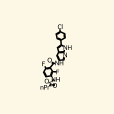 CCCS(=O)(=O)Nc1ccc(F)c(C(=O)Nc2cnc3[nH]c(-c4ccc(Cl)cc4)cc3c2)c1F